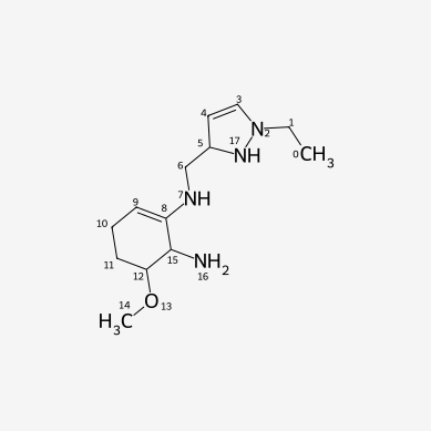 CCN1C=CC(CNC2=CCCC(OC)C2N)N1